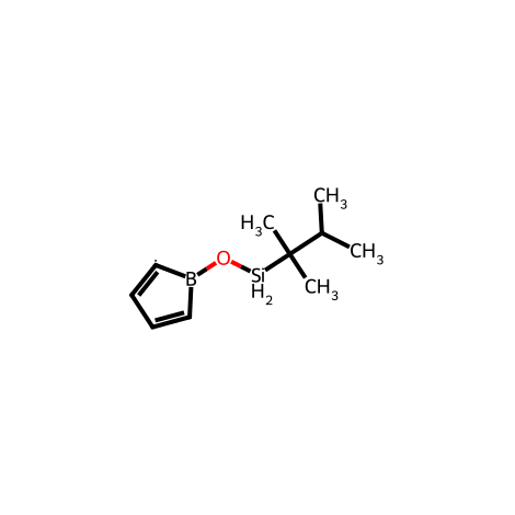 CC(C)C(C)(C)[SiH2]OB1[C]=CC=C1